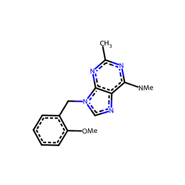 CNc1nc(C)nc2c1ncn2Cc1ccccc1OC